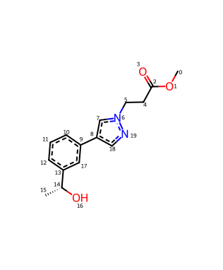 COC(=O)CCn1cc(-c2cccc([C@@H](C)O)c2)cn1